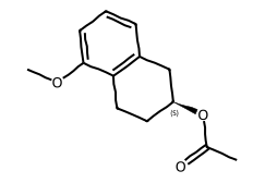 COc1cccc2c1CC[C@H](OC(C)=O)C2